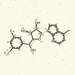 Cc1ccnc2c1ccn2[C@@H]1OC(C(O)c2cc(F)cc(C(F)(F)F)c2)[C@@H](O)[C@H]1O